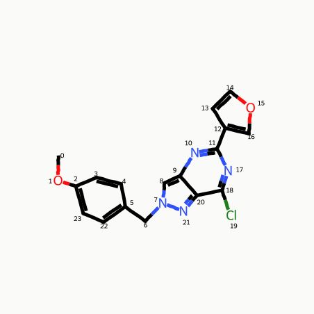 COc1ccc(Cn2cc3nc(-c4ccoc4)nc(Cl)c3n2)cc1